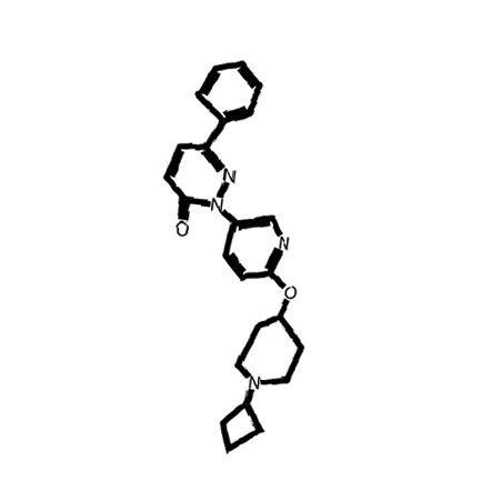 O=c1ccc(-c2ccccc2)nn1-c1ccc(OC2CCN(C3CCC3)CC2)nc1